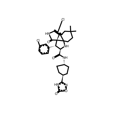 CC1(C)CCC2(CC1)N[C@@H](C(=O)N[C@H]1CC[C@H](c3noc(=O)[nH]3)CC1)[C@H](c1cccc(Cl)c1)[C@]21C(=O)Nc2cc(Cl)ccc21